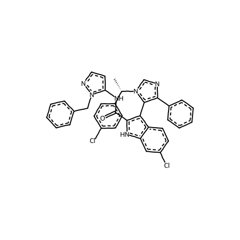 C[C@@H](c1ccc(Cl)cc1)n1cnc(-c2ccccc2)c1-c1c(C(=O)Nc2ccnn2Cc2ccccc2)[nH]c2cc(Cl)ccc12